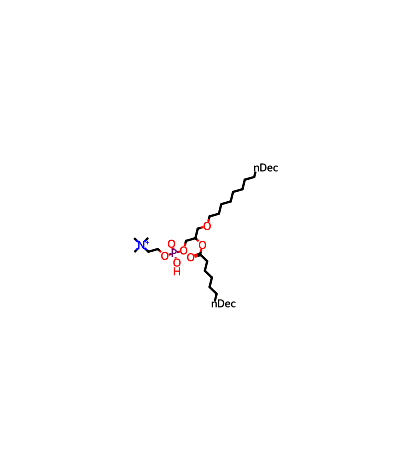 CCCCCCCCCCCCCCCCCCOCC(COP(=O)(O)OCC[N+](C)(C)C)OC(=O)CCCCCCCCCCCCCCC